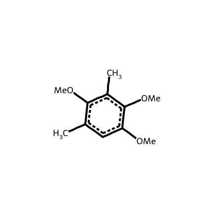 COc1cc(C)c(OC)c(C)c1OC